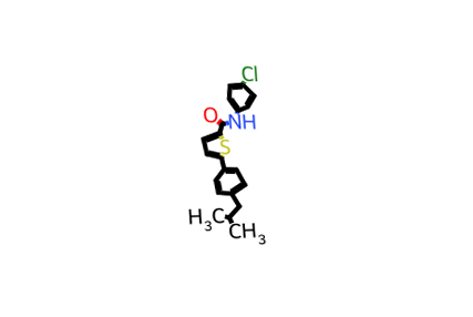 CC(C)Cc1ccc(-c2ccc(C(=O)Nc3ccc(Cl)cc3)s2)cc1